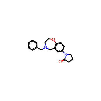 O=C1CCCN1c1ccc2c(c1)CN(Cc1ccccc1)CCO2